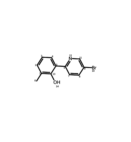 Cc1cccc(-c2ccc(Br)cn2)c1O